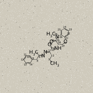 CCC/C(=N\N=C(/C)Cc1ccccc1)C(=O)N[C@H]1COc2ccccc2N(C)C1=O